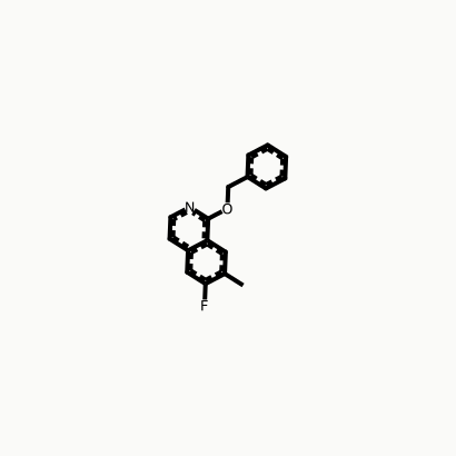 Cc1cc2c(OCc3ccccc3)nccc2cc1F